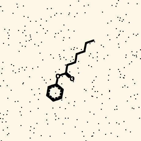 CCCCC[CH]C(=O)Oc1ccccc1